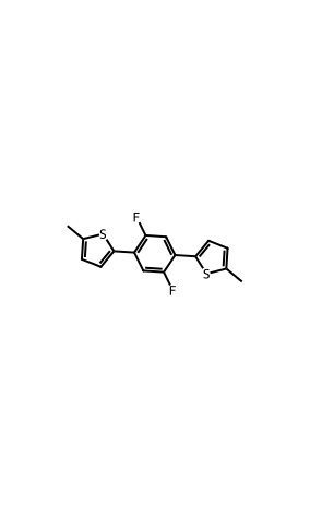 Cc1ccc(-c2cc(F)c(-c3ccc(C)s3)cc2F)s1